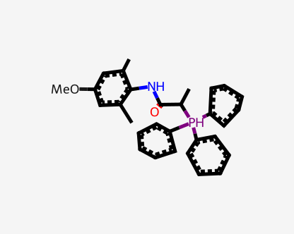 COc1cc(C)c(NC(=O)C(C)[PH](c2ccccc2)(c2ccccc2)c2ccccc2)c(C)c1